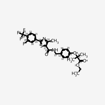 CCOC(=O)C(C)(C)Oc1ccc(CNC(=O)c2sc(-c3ccc(C(F)(F)F)c(F)c3)nc2C)cc1